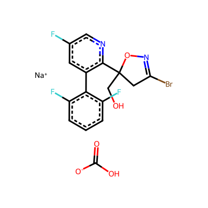 O=C([O-])O.OCC1(c2ncc(F)cc2-c2c(F)cccc2F)CC(Br)=NO1.[Na+]